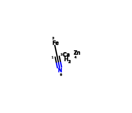 N#[C][Fe].[CaH2].[Zn]